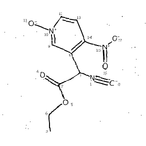 [C-]#[N+]C(C(=O)OCC)c1c[n+]([O-])ccc1[N+](=O)[O-]